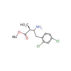 CC(C)(C)OC(=O)[C@@H](C(=O)O)C(N)Cc1ccc(Cl)cc1Cl